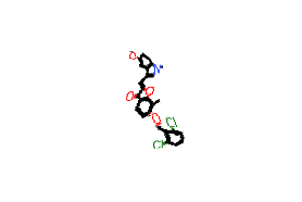 COc1ccc2c(c1)c(/C=C1\Oc3c(ccc(OCc4c(Cl)cccc4Cl)c3C)C1=O)cn2C